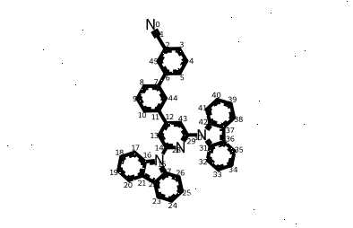 N#Cc1cccc(-c2cccc(-c3cc(-n4c5ccccc5c5ccccc54)nc(-n4c5ccccc5c5ccccc54)c3)c2)c1